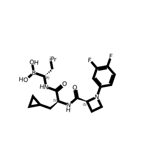 CC(C)C[C@H](NC(=O)[C@H](CC1CC1)NC(=O)[C@@H]1CCN1c1ccc(F)c(F)c1)B(O)O